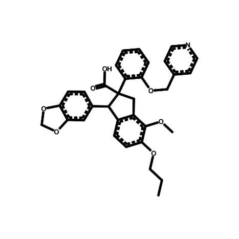 CCCOc1ccc2c(c1OC)CC(C(=O)O)(c1ccccc1OCc1ccncc1)C2c1ccc2c(c1)OCO2